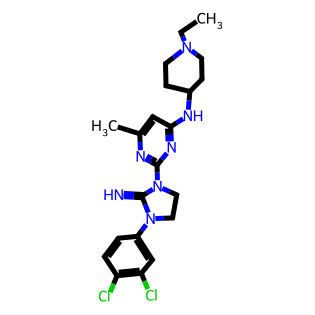 CCN1CCC(Nc2cc(C)nc(N3CCN(c4ccc(Cl)c(Cl)c4)C3=N)n2)CC1